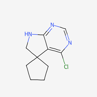 Clc1ncnc2c1C1(CCCC1)CN2